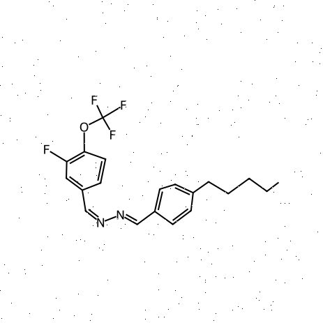 CCCCCc1ccc(/C=N/N=C\c2ccc(OC(F)(F)F)c(F)c2)cc1